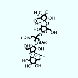 CCCCCCCCCCCC(CCCCCCCCCCC)(CO[C@H]1OC(CO)[C@H](O[C@H]2OC(CO)[C@H](C)C(O)[C@H]2O)C(O)[C@H]1O)CO[C@H]1OC(CO)[C@H](O[C@H]2OC(CO)[C@H](O)C(O)[C@H]2O)C(O)[C@H]1O